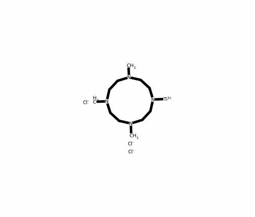 CN1CCN(C)CC[N]([Ti+3])CCN(C)CC1.[Cl-].[Cl-].[Cl-]